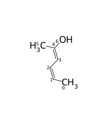 C/C=C\C=C(/C)O